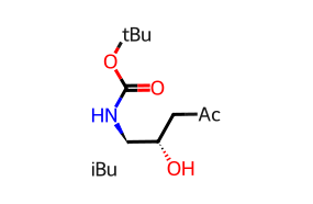 CC[C@H](C)[C@@H](NC(=O)OC(C)(C)C)[C@@H](O)CC(C)=O